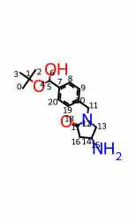 CC(C)(C)OC(O)c1ccc(CN2CC(N)CC2=O)cc1